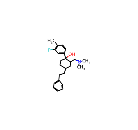 Cc1ccc(C2(O)CCC(CCc3ccccc3)CC2CN(C)C)cc1F